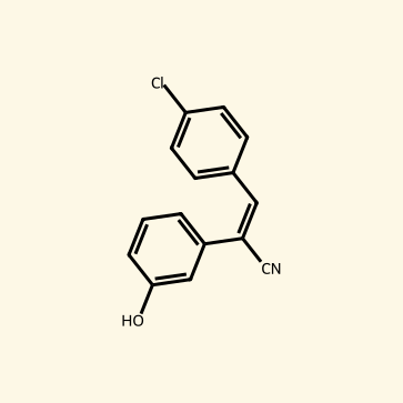 N#CC(=Cc1ccc(Cl)cc1)c1cccc(O)c1